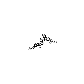 CN(C)CCOc1ccc2c(c1)C(=O)N(c1cccc(C(=O)Nc3cnccc3N3CCN(C(=O)OC(C)(C)C)CC3)n1)C2